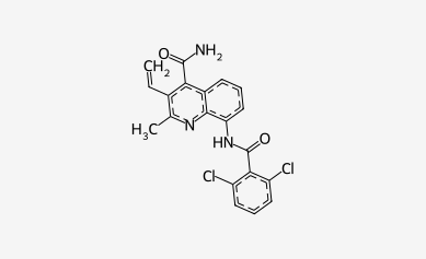 C=Cc1c(C)nc2c(NC(=O)c3c(Cl)cccc3Cl)cccc2c1C(N)=O